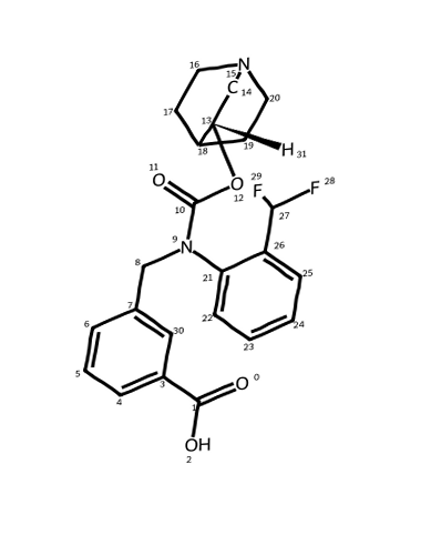 O=C(O)c1cccc(CN(C(=O)O[C@H]2CN3CCC2CC3)c2ccccc2C(F)F)c1